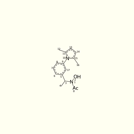 CC(=O)N(O)C(C)c1cccc(-n2c(C)ccc2C)c1